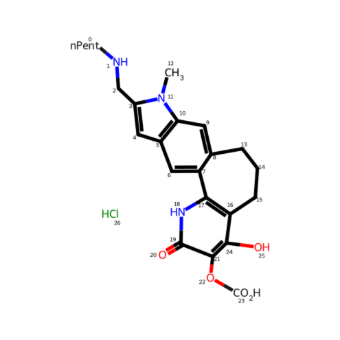 CCCCCNCc1cc2cc3c(cc2n1C)CCCc1c-3[nH]c(=O)c(OC(=O)O)c1O.Cl